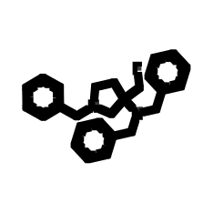 FCC1(N(Cc2ccccc2)Cc2ccccc2)CCN(Cc2ccccc2)C1